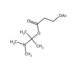 CC(=O)OCCC(=O)OC(C)(C)N(C)C